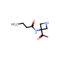 O=C(O)CCC(=O)NC1(C(=O)I)CNC1